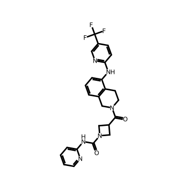 O=C(Nc1ccccn1)N1CC(C(=O)N2CCc3c(cccc3Nc3ccc(C(F)(F)F)cn3)C2)C1